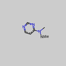 CNN(C)c1ccncn1